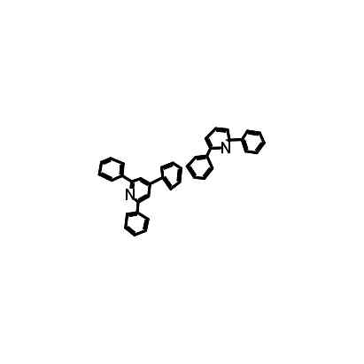 c1ccc(-c2cc(-c3ccccc3)nc(-c3ccccc3)c2)cc1.c1ccc(-c2cccc(-c3ccccc3)n2)cc1